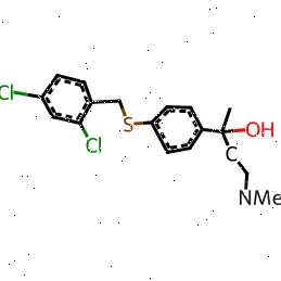 CNCCC(C)(O)c1ccc(SCc2ccc(Cl)cc2Cl)cc1